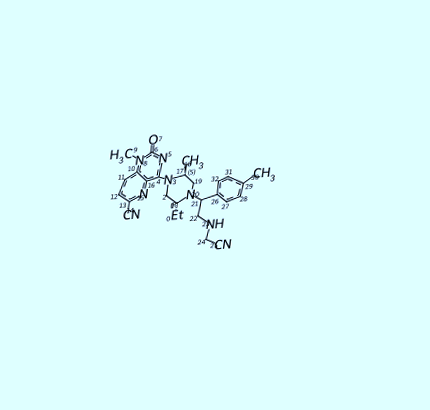 CC[C@@H]1CN(c2nc(=O)n(C)c3ccc(C#N)nc23)[C@@H](C)CN1C(CNCC#N)c1ccc(C)cc1